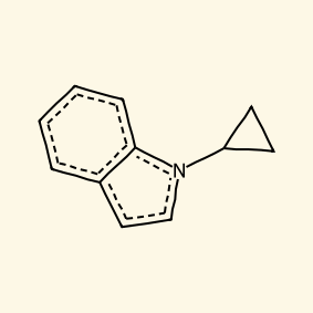 c1ccc2c(c1)ccn2C1CC1